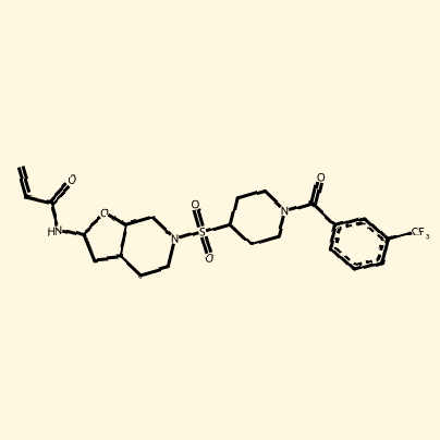 C=CC(=O)NC1CC2CCN(S(=O)(=O)C3CCN(C(=O)c4cccc(C(F)(F)F)c4)CC3)CC2O1